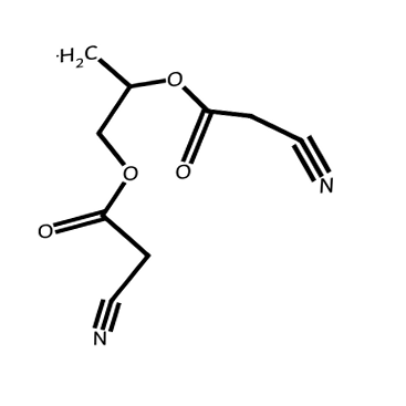 [CH2]C(COC(=O)CC#N)OC(=O)CC#N